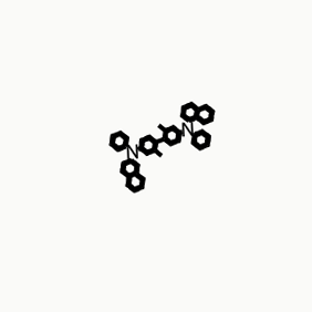 Cc1cc(N(c2ccccc2)c2ccc3ccccc3c2)ccc1-c1ccc(N(c2ccccc2)c2cccc3ccccc23)cc1C